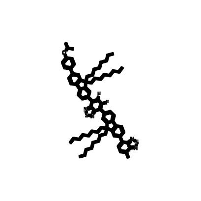 CCCCCCCCC1(CCCCCCCC)c2cc(-c3ccc(OC(C)C)cc3)ccc2-c2ccc(-c3c(F)c(F)c(-c4ccc5c(c4)C(CCCCCCCC)(CCCCCCCC)c4cc(-c6ccc(C)c7nsnc67)ccc4-5)c4nsnc34)cc21